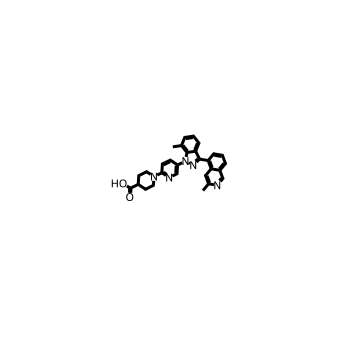 Cc1cc2c(-c3nn(-c4ccc(N5CCC(C(=O)O)CC5)nc4)c4c(C)cccc34)cccc2cn1